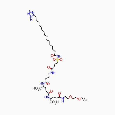 CC(=O)COCCOCCNC(=O)CC[C@H](NC(=O)CC[C@H](NC(=O)CCCNC(=O)CCCS(=O)(=O)NC(=O)CCCCCCCCCCCCCCCc1nnn[nH]1)C(=O)O)C(=O)O